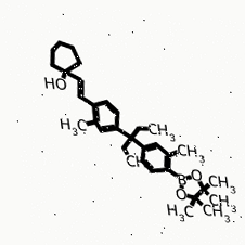 CCC(CC)(c1ccc(C=CC2(O)CCCCC2)c(C)c1)c1ccc(B2OC(C)(C)C(C)(C)O2)c(C)c1